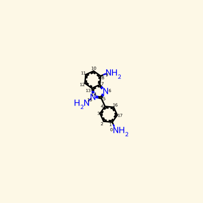 Nc1ccc(-c2nc3c(N)cccc3n2N)cc1